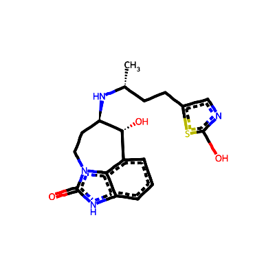 C[C@H](CCc1cnc(O)s1)N[C@@H]1CCn2c(=O)[nH]c3cccc(c32)[C@H]1O